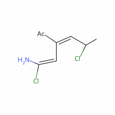 CC(=O)C(/C=C(\N)Cl)=C/C(C)Cl